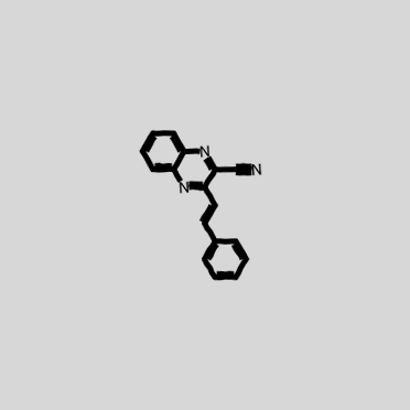 N#Cc1nc2ccccc2nc1C=Cc1ccccc1